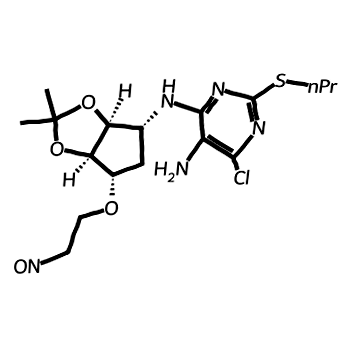 CCCSc1nc(Cl)c(N)c(N[C@@H]2C[C@H](OCCN=O)[C@H]3OC(C)(C)O[C@H]32)n1